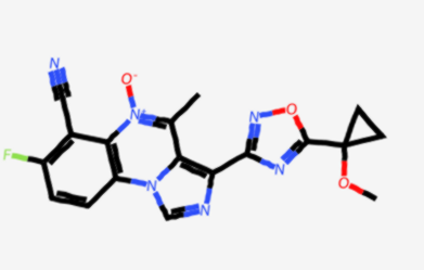 COC1(c2nc(-c3ncn4c3c(C)[n+]([O-])c3c(C#N)c(F)ccc34)no2)CC1